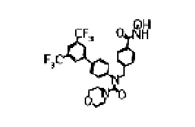 O=C(NO)c1ccc(CN(C(=O)N2CCOCC2)c2ccc(-c3cc(C(F)(F)F)cc(C(F)(F)F)c3)cc2)cc1